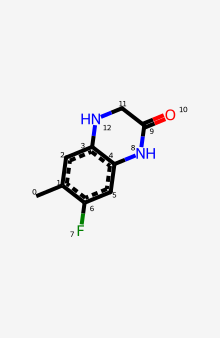 Cc1cc2c(cc1F)NC(=O)CN2